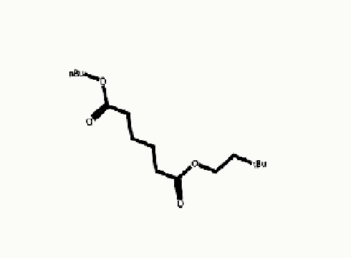 CCCCOC(=O)CCCCC(=O)OCCC(C)(C)C